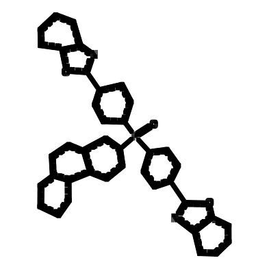 O=P(c1ccc(-c2nc3ccccc3o2)cc1)(c1ccc(-c2nc3ccccc3o2)cc1)c1ccc2c(ccc3ccccc32)c1